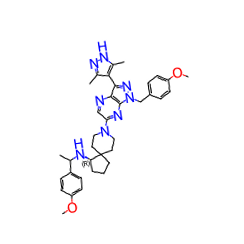 COc1ccc(Cn2nc(-c3c(C)n[nH]c3C)c3ncc(N4CCC5(CCC[C@H]5NC(C)c5ccc(OC)cc5)CC4)nc32)cc1